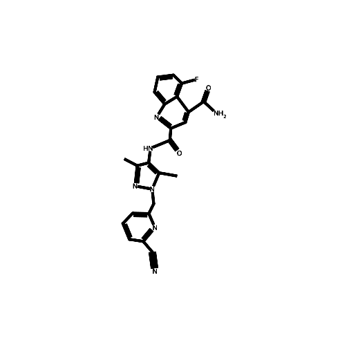 Cc1nn(Cc2cccc(C#N)n2)c(C)c1NC(=O)c1cc(C(N)=O)c2c(F)cccc2n1